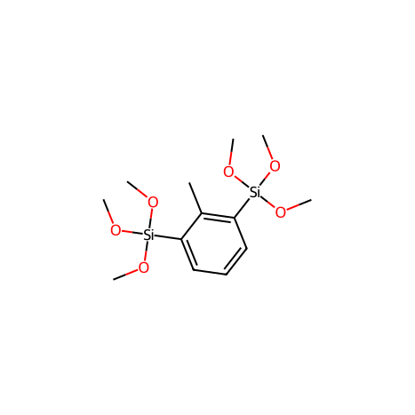 CO[Si](OC)(OC)c1cccc([Si](OC)(OC)OC)c1C